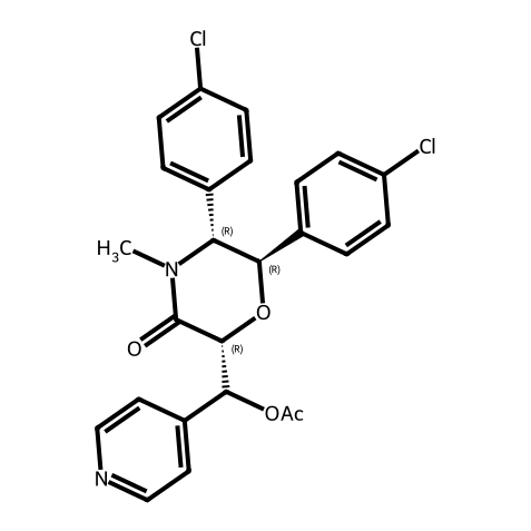 CC(=O)OC(c1ccncc1)[C@H]1O[C@H](c2ccc(Cl)cc2)[C@@H](c2ccc(Cl)cc2)N(C)C1=O